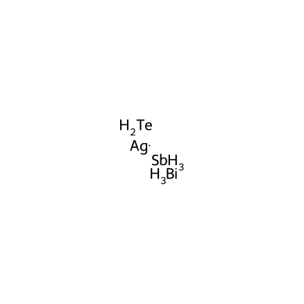 [Ag].[BiH3].[SbH3].[TeH2]